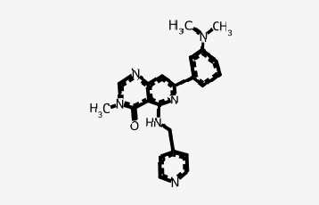 CN(C)c1cccc(-c2cc3ncn(C)c(=O)c3c(NCc3ccncc3)n2)c1